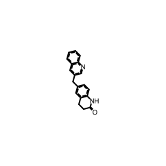 O=C1CCc2cc(Cc3cnc4ccccc4c3)ccc2N1